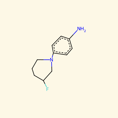 Nc1ccc(N2CCCC(F)C2)cc1